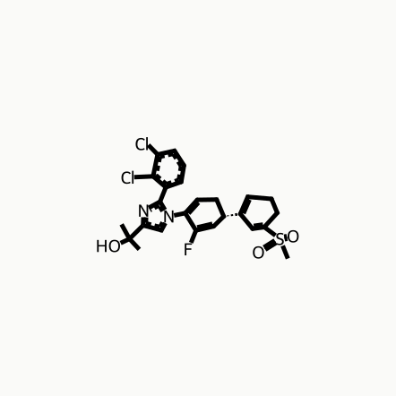 CC(C)(O)c1cn(C2=CC[C@H](C3=CCCC(S(C)(=O)=O)=C3)C=C2F)c(-c2cccc(Cl)c2Cl)n1